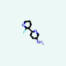 Nc1ccc(-c2cccnc2F)nc1